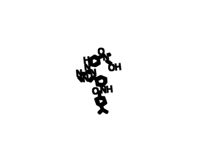 CC(C)c1ccc(C(=O)Nc2cccc(-c3cn4ccnc4c(Nc4ccc(C(=O)N(C)CCO)cc4)n3)c2)cc1